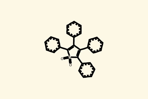 O=S1(=O)C(c2ccccc2)=C(c2ccccc2)C(c2ccccc2)=C1c1ccccc1